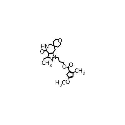 CCc1nn(CCCOC(=O)C2=C(C)C=C(OC)C2)c2c1C(=O)NCC1(CCOCC1)C2